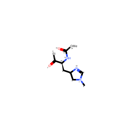 CCC(=O)[C@H](CC1CN(C)C=N1)NC(=O)OC